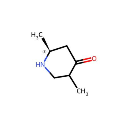 CC1CN[C@@H](C)CC1=O